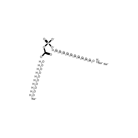 O.O.O.O.O.O.O.O.O.O.O.O.O.O.O.O.O.O.O.O.O.O.O=C([O-])OP(=O)([O-])[O-].[Na+].[Na+].[Na+]